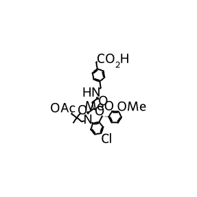 COc1cccc([C@H]2O[C@H](CC(=O)NCc3ccc(CC(=O)O)cc3)C(=O)N(CC(C)(C)COC(C)=O)c3ccc(Cl)cc32)c1OC